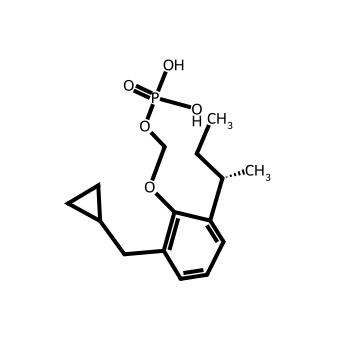 CC[C@H](C)c1cccc(CC2CC2)c1OCOP(=O)(O)O